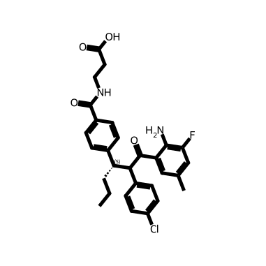 CCC[C@H](c1ccc(C(=O)NCCC(=O)O)cc1)C(C(=O)c1cc(C)cc(F)c1N)c1ccc(Cl)cc1